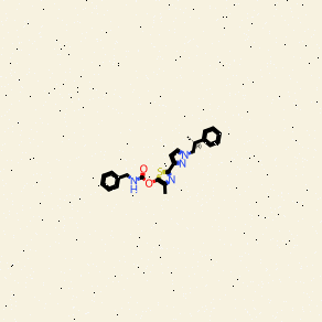 Cc1nc(-c2ccn(C[C@H](C)c3ccccc3)n2)sc1OC(=O)NCc1ccccc1